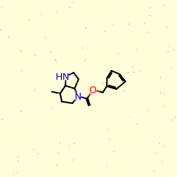 C=C(OCc1ccccc1)N1CCC(C)C2NCCC21